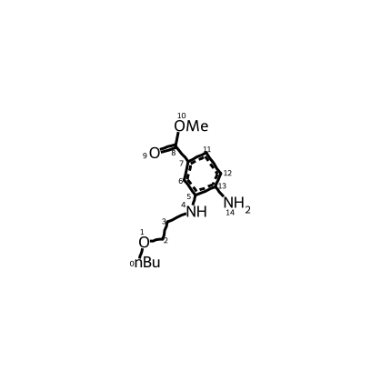 CCCCOCCNc1cc(C(=O)OC)ccc1N